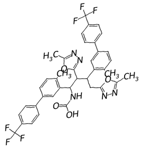 Cc1nnc(CC(c2cc(-c3ccc(C(F)(F)F)cc3)ccc2C)C(c2nnc(C)o2)C(NC(=O)O)c2cc(-c3ccc(C(F)(F)F)cc3)ccc2C)o1